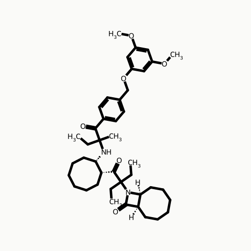 CCC(C)(N[C@H]1CCCCCC[C@H]1C(=O)C(CC)(CC)N1C(=O)[C@@H]2CCCCCC[C@@H]21)C(=O)c1ccc(COc2cc(OC)cc(OC)c2)cc1